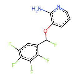 Nc1ncccc1OC(F)c1cc(F)c(F)c(F)c1F